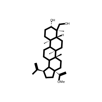 C=C(C)[C@@H]1CC[C@]2(C(=C)OC)CC[C@]3(C)C(CCC4[C@@]5(C)CC[C@H](O)[C@@](C)(CO)[C@@H]5CC[C@]43C)C12